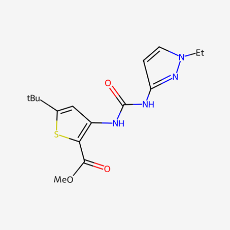 CCn1ccc(NC(=O)Nc2cc(C(C)(C)C)sc2C(=O)OC)n1